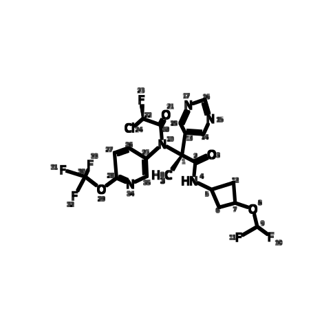 C[C@](C(=O)NC1CC(OC(F)F)C1)(c1cncnc1)N(C(=O)[C@H](F)Cl)c1ccc(OC(F)(F)F)nc1